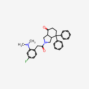 CN(C)c1cc(F)ccc1CC(=O)N1CC2C(=O)CCC(c3ccccc3)(c3ccccc3)C2C1